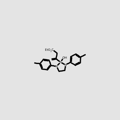 C=C(CC(=O)OCC)[P]1(O)N(c2ccc(C)cc2)CCN1c1ccc(C)cc1